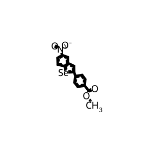 CCOC(=O)c1ccc(-c2cc3cc([N+](=O)[O-])ccc3[se]2)cc1